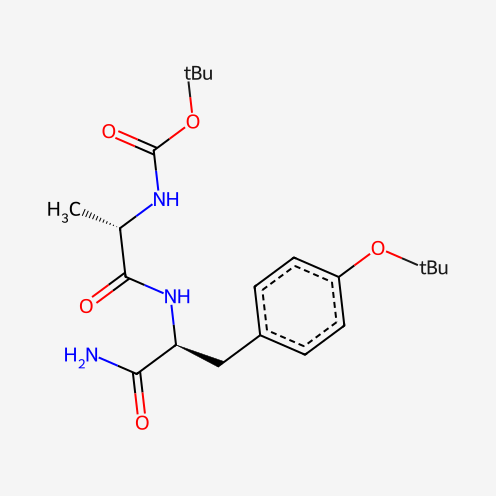 C[C@H](NC(=O)OC(C)(C)C)C(=O)N[C@@H](Cc1ccc(OC(C)(C)C)cc1)C(N)=O